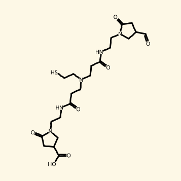 O=CC1CC(=O)N(CCNC(=O)CCN(CCS)CCC(=O)NCCN2CC(C(=O)O)CC2=O)C1